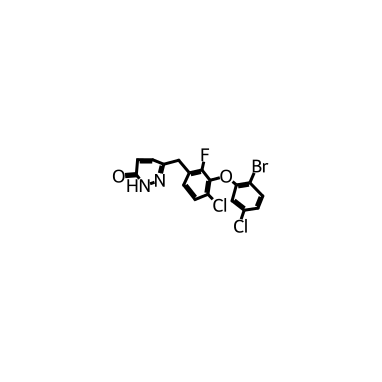 O=c1ccc(Cc2ccc(Cl)c(Oc3cc(Cl)ccc3Br)c2F)n[nH]1